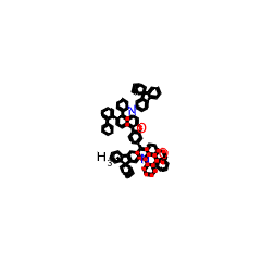 CC12C=CCCC1c1ccc(N(c3ccccc3-c3ccccc3-c3cc(-c4ccc5c(c4)oc4cc(N(c6ccc7c(c6)C6(CC8CCC6C8)c6ccccc6-7)c6ccccc6-c6ccccc6-c6ccccc6-c6ccccc6)ccc45)ccc3-c3ccccc3)c3cccc4oc5ccccc5c34)cc1C21CC2CCC1C2